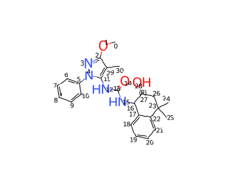 COc1nn(-c2ccccc2)c(NC(=O)NC2c3ccccc3C(C)(C)C[C@H]2O)c1C